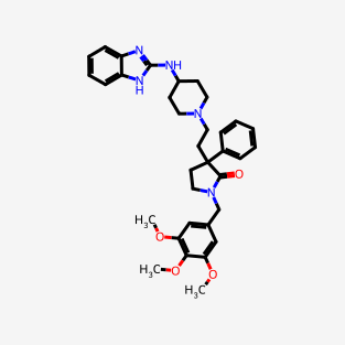 COc1cc(CN2CCC(CCN3CCC(Nc4nc5ccccc5[nH]4)CC3)(c3ccccc3)C2=O)cc(OC)c1OC